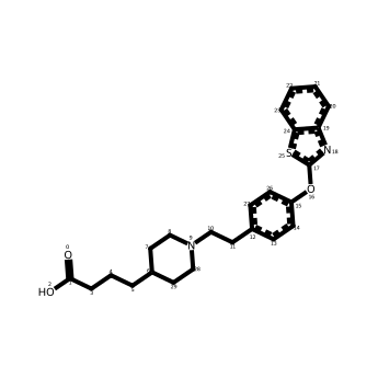 O=C(O)CCCC1CCN(CCc2ccc(Oc3nc4ccccc4s3)cc2)CC1